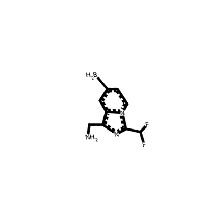 Bc1ccn2c(C(F)F)nc(CN)c2c1